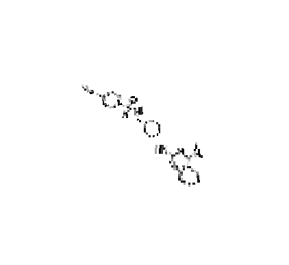 CN(C)c1nc(NC[C@H]2CC[C@H](CNS(=O)(=O)c3ccc(C#N)cc3)CC2)nc2ccccc12